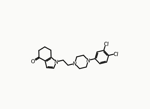 O=C1CCCc2c1ccn2CCN1CCN(c2ccc(Cl)c(Cl)c2)CC1